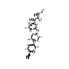 CCNC(=O)Nc1cc(CN2CCN(c3ccc(C#N)nc3)CC2)ccn1